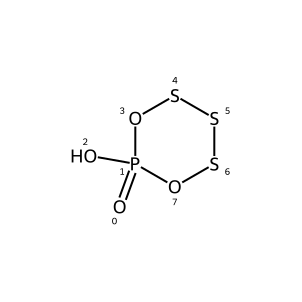 O=P1(O)OSSSO1